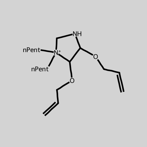 C=CCOC1NC[N+](CCCCC)(CCCCC)C1OCC=C